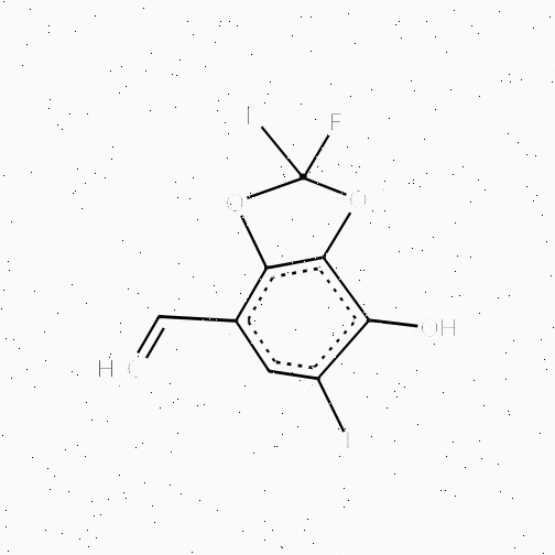 C=Cc1cc(I)c(O)c2c1OC(F)(F)O2